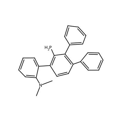 CN(C)c1ccccc1-c1ccc(-c2ccccc2)c(-c2ccccc2)c1P